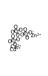 [Ca+2].[Cd+2].[O]=[Cr](=[O])([O-])[O-].[O]=[Cr](=[O])([O-])[O-].[O]=[Cr](=[O])([O-])[O-].[Zn+2]